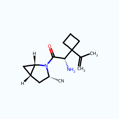 C=C(C)C1([C@H](N)C(=O)N2[C@H](C#N)C[C@@H]3C[C@@H]32)CCC1